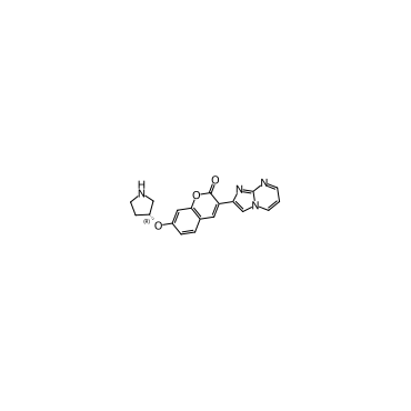 O=c1oc2cc(O[C@@H]3CCNC3)ccc2cc1-c1cn2cccnc2n1